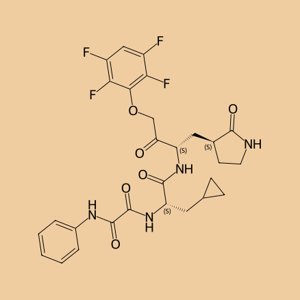 O=C(Nc1ccccc1)C(=O)N[C@@H](CC1CC1)C(=O)N[C@@H](C[C@@H]1CCNC1=O)C(=O)COc1c(F)c(F)cc(F)c1F